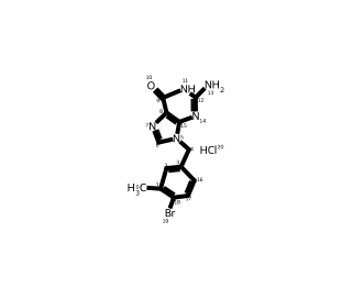 Cc1cc(Cn2cnc3c(=O)[nH]c(N)nc32)ccc1Br.Cl